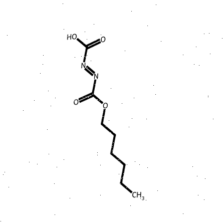 CCCCCCOC(=O)N=NC(=O)O